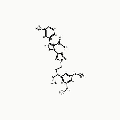 CCN(CCn1cc(N2COC(c3cccc(C)c3)=C2C(N)=O)cn1)c1cc(OC)cc(OC)n1